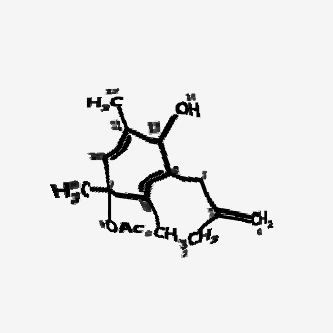 C=C(C)CC1=C(C)C(C)(OC(C)=O)C=C(C)C1O